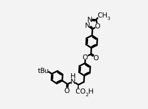 Cc1nnc(-c2ccc(C(=O)Oc3ccc(C[C@H](NC(=O)c4ccc(C(C)(C)C)cc4)C(=O)O)cc3)cc2)o1